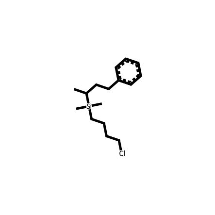 CC(CCc1ccccc1)[Si](C)(C)CCCCCl